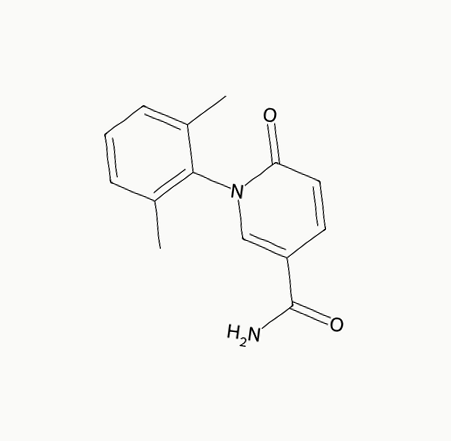 Cc1cccc(C)c1-n1cc(C(N)=O)ccc1=O